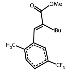 CCC(C)/C(=C\c1cc(C(F)(F)F)ccc1C)C(=O)OC